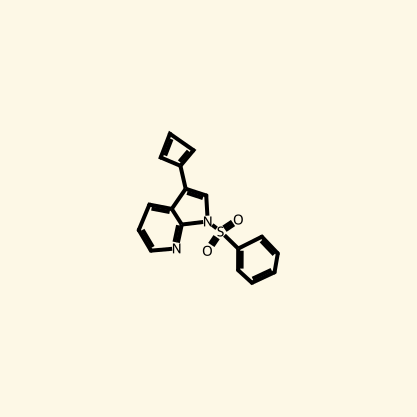 O=S(=O)(c1ccccc1)n1cc(C2=CC=C2)c2cccnc21